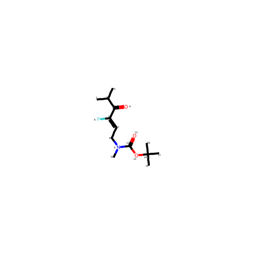 CC(C)C(=O)/C(F)=C/CN(C)C(=O)OC(C)(C)C